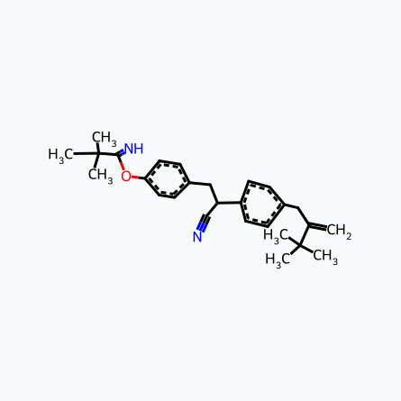 C=C(Cc1ccc(C(C#N)Cc2ccc(OC(=N)C(C)(C)C)cc2)cc1)C(C)(C)C